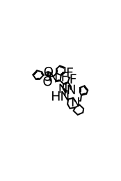 O=S(=O)(c1ccccc1)n1cc(-c2nc(N[C@H]3CCC4(CCCCC4)N(Cc4ccccc4)C3)ncc2C(F)(F)F)c2ccccc21